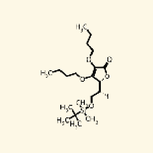 CCCCOC1=C(OCCCC)[C@@H]([C@H](I)CO[Si](C)(C)C(C)(C)C)OC1=O